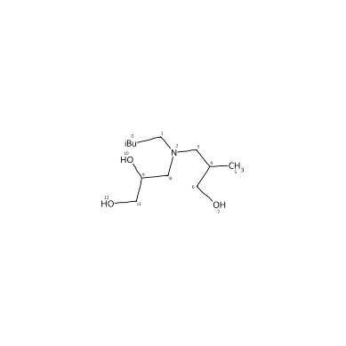 CCC(C)CN(CC(C)CO)CC(O)CO